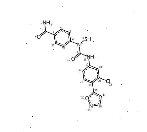 NC(=O)c1ccc(N(S)C(=O)Nc2ccc(-c3ccno3)c(Cl)c2)cc1